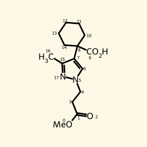 COC(=O)CCn1cc(C2(C(=O)O)CCCCC2)c(C)n1